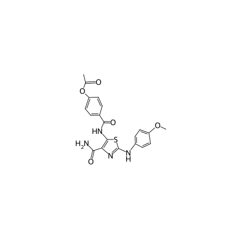 COc1ccc(Nc2nc(C(N)=O)c(NC(=O)c3ccc(OC(C)=O)cc3)s2)cc1